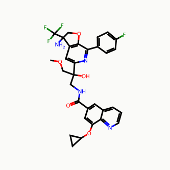 COCC(O)(CNC(=O)c1cc(OC2CC2)c2ncccc2c1)c1cc2c(c(-c3ccc(F)cc3)n1)OCC2(N)C(F)(F)F